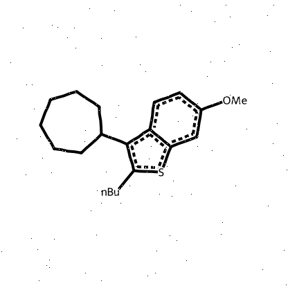 CCCCc1sc2cc(OC)ccc2c1C1CCCCCC1